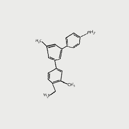 Cc1cc(-c2ccc(P)cc2)cc(-c2ccc(CP)c(C)c2)c1